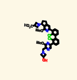 COc1nc(-c2cccc(-c3cccc(-c4cc5c(c(OC)n4)[C@@H](N4CC(C(=O)O)C4)CC5)c3Cl)c2Cl)cnc1CN1CC(O)C1